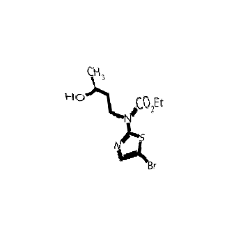 CCOC(=O)N(CC[C@H](C)O)c1ncc(Br)s1